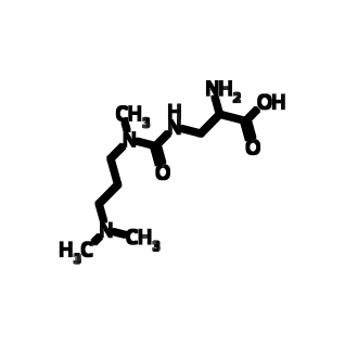 CN(C)CCCN(C)C(=O)NCC(N)C(=O)O